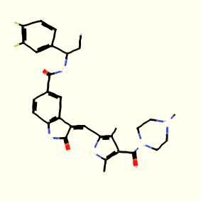 CCC(NC(=O)c1ccc2c(c1)/C(=C/c1[nH]c(C)c(C(=O)N3CCN(C)CC3)c1C)C(=O)N2)c1ccc(F)c(F)c1